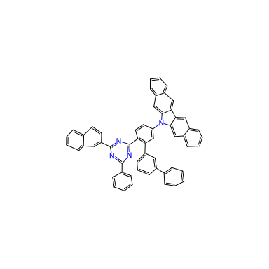 c1ccc(-c2cccc(-c3cc(-n4c5cc6ccccc6cc5c5cc6ccccc6cc54)ccc3-c3nc(-c4ccccc4)nc(-c4ccc5ccccc5c4)n3)c2)cc1